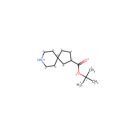 CC(C)(C)OC(=O)C1CCC2(CCNCC2)C1